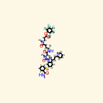 CNC(=O)c1ccccc1Sc1ccc2c(/C=C/c3ccccn3)nn(C(=O)N(C)[C@@H](C)C(=O)N[C@@H](C)CCC(=O)N(C)CCC(=O)Oc3c(F)c(F)c(F)c(F)c3F)c2c1